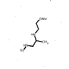 CCNCC(C)NCCOC